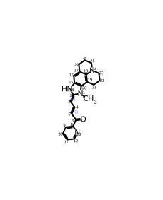 CN1/C(=C\C=C\C(=O)c2ccccn2)Nc2cc3c4c(c21)CCCN4CCC3